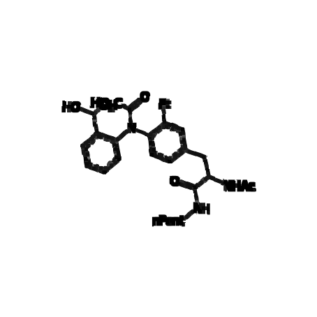 CCCCCNC(=O)C(Cc1ccc(N(C(=O)C(=O)O)c2ccccc2C(O)O)c(CC)c1)NC(C)=O